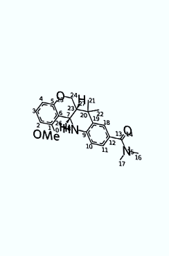 COc1cccc2c1[C@H]1Nc3ccc(C(=O)N(C)C)cc3C(C)(C)[C@H]1CO2